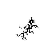 CCc1cc2c(c(OC(C)C)c(C(=O)NC(CC)COC)n2C)c(=O)n1-c1ccc(F)cc1